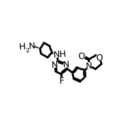 N[C@H]1CC[C@H](Nc2ncc(F)c(-c3cccc(N4CCOCC4=O)c3)n2)CC1